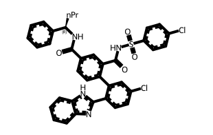 CCC[C@@H](NC(=O)c1ccc(-c2cc(Cl)ccc2-c2nc3ccccc3[nH]2)c(C(=O)NS(=O)(=O)c2ccc(Cl)cc2)c1)c1ccccc1